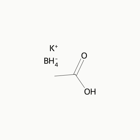 CC(=O)O.[BH4-].[K+]